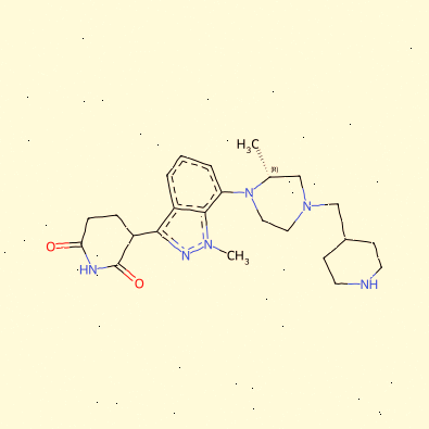 C[C@@H]1CN(CC2CCNCC2)CCN1c1cccc2c(C3CCC(=O)NC3=O)nn(C)c12